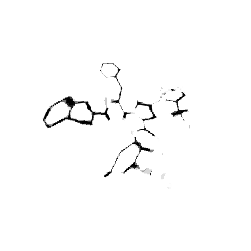 C=CCC(NC(=O)[C@@H]1C[C@H](n2nncc2C(C)(C)O)CN1C(=O)C(CC1CCCCC1)NC(=O)c1ccc2ccccc2c1)C(=O)C(N)=O